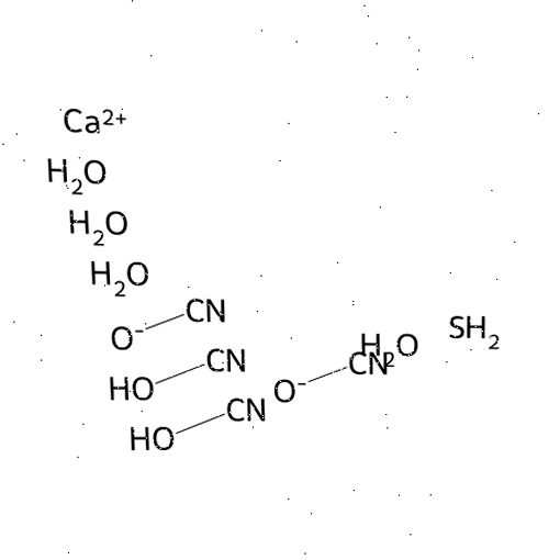 N#CO.N#CO.N#C[O-].N#C[O-].O.O.O.O.S.[Ca+2]